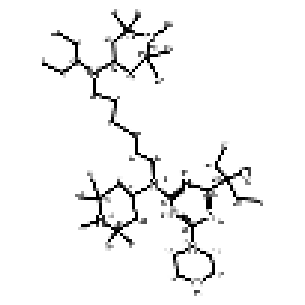 CCC(CC)N(CCCCCCN(c1nc(N2CCOCC2)nc(C(Cl)(CC)CC)n1)C1CC(C)(C)N(C)C(C)(C)C1)C1CC(C)(C)N(C)C(C)(C)C1